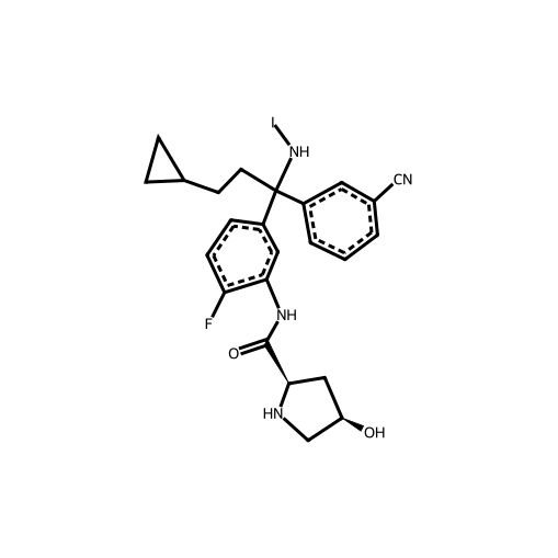 N#Cc1cccc(C(CCC2CC2)(NI)c2ccc(F)c(NC(=O)[C@H]3C[C@@H](O)CN3)c2)c1